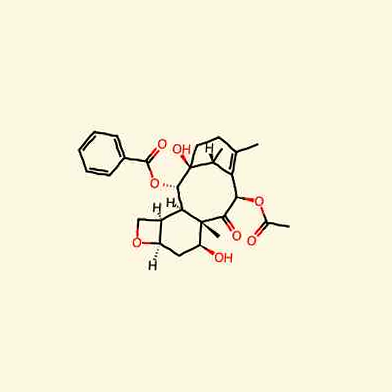 CC(=O)O[C@H]1C(=O)[C@@]2(C)[C@@H]([C@@H]3CO[C@@H]3C[C@@H]2O)[C@H](OC(=O)c2ccccc2)[C@]2(O)CCC(C)=C1[C@H]2C